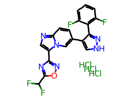 Cl.Cl.Cl.Fc1cccc(F)c1-c1n[nH]cc1-c1ccc2ncc(-c3noc(C(F)F)n3)n2c1